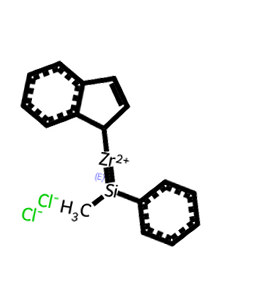 C/[Si](=[Zr+2]\[CH]1C=Cc2ccccc21)c1ccccc1.[Cl-].[Cl-]